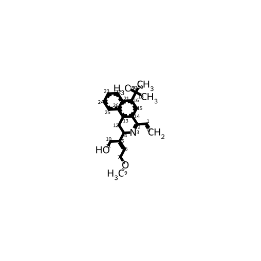 C=CC1=NC(/C(=C/COC)CO)Cc2c1cc(C(C)(C)C)c1ccccc21